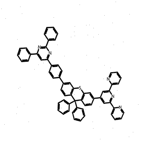 c1ccc(-c2cc(-c3ccc(-c4ccc5c(c4)Sc4cc(-c6cc(-c7ccccn7)nc(-c7ccccn7)c6)ccc4C5(c4ccccc4)c4ccccc4)cc3)nc(-c3ccccc3)n2)cc1